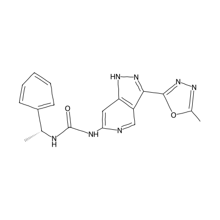 Cc1nnc(-c2n[nH]c3cc(NC(=O)N[C@H](C)c4ccccc4)ncc23)o1